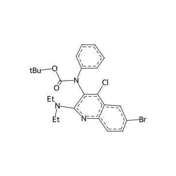 CCN(CC)c1nc2ccc(Br)cc2c(Cl)c1N(C(=O)OC(C)(C)C)c1ccccc1